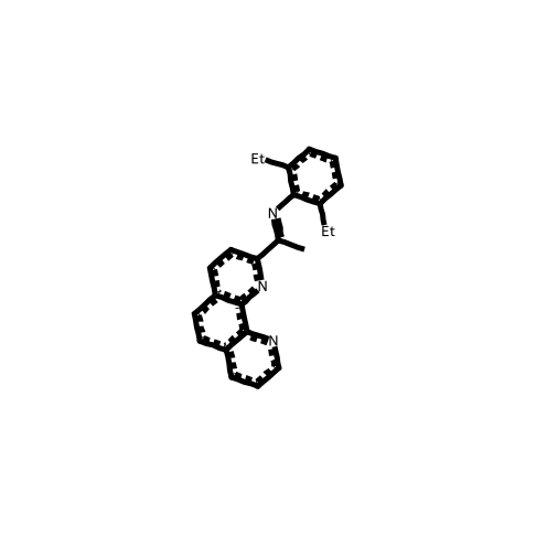 CCc1cccc(CC)c1N=C(C)c1ccc2ccc3cccnc3c2n1